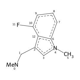 CNCc1cn(C)c2cccc(F)c12